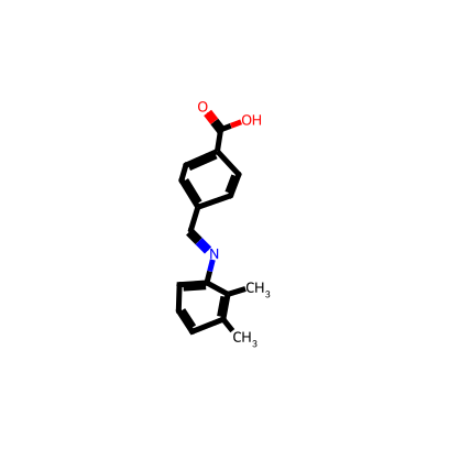 Cc1cccc(N=Cc2ccc(C(=O)O)cc2)c1C